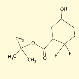 CC(C)(C)OC(=O)C1CC(O)CCC1(F)F